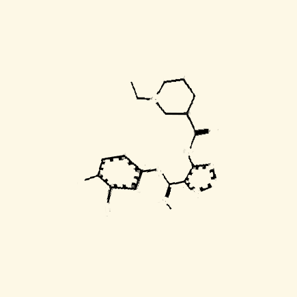 CCN1CCCC(C(=O)Nc2nonc2/C(=N\O)Nc2ccc(F)c(Br)c2)C1